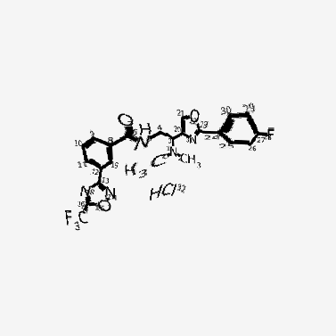 CN(C)C(CNC(=O)c1cccc(-c2noc(C(F)(F)F)n2)c1)c1coc(-c2ccc(F)cc2)n1.Cl